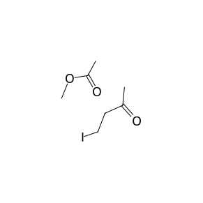 CC(=O)CCI.COC(C)=O